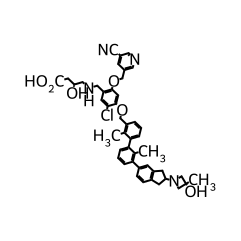 Cc1c(COc2cc(OCc3cncc(C#N)c3)c(CNC[C@@H](O)CC(=O)O)cc2Cl)cccc1-c1cccc(-c2ccc3c(c2)CC(N2CC(C)(O)C2)C3)c1C